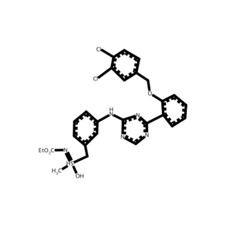 CCOC(=O)N=[SH](C)(O)Cc1cccc(Nc2ncnc(-c3ccccc3OCc3ccc(Cl)c(Cl)c3)n2)c1